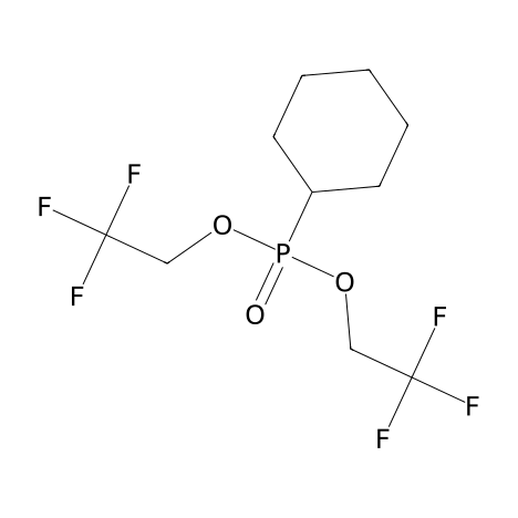 O=P(OCC(F)(F)F)(OCC(F)(F)F)C1CCCCC1